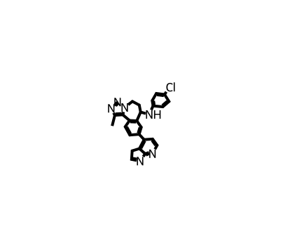 Cc1nnn2c1-c1ccc(-c3ccnc4c3CC=N4)cc1C(Nc1ccc(Cl)cc1)CC2